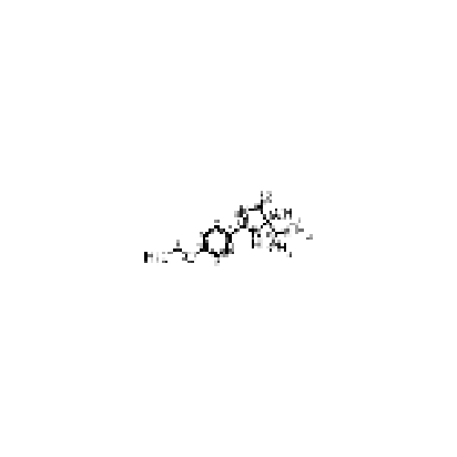 CCOc1ccc(C2=NC(=O)C(C)(C(C)C)N2)nc1